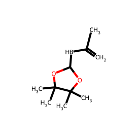 C=C(C)BC1OC(C)(C)C(C)(C)O1